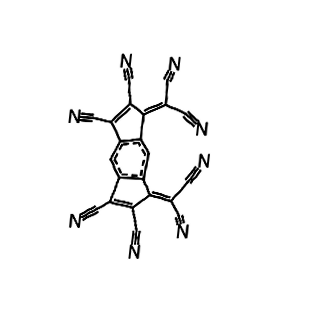 N#CC(C#N)=C1C(C#N)=C(C#N)c2cc3c(cc21)C(=C(C#N)C#N)C(C#N)=C3C#N